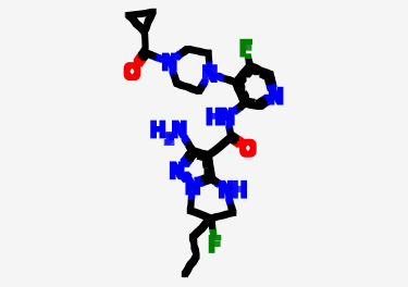 CCCC1(F)CNc2c(C(=O)Nc3cncc(F)c3N3CCN(C(=O)C4CC4)CC3)c(N)nn2C1